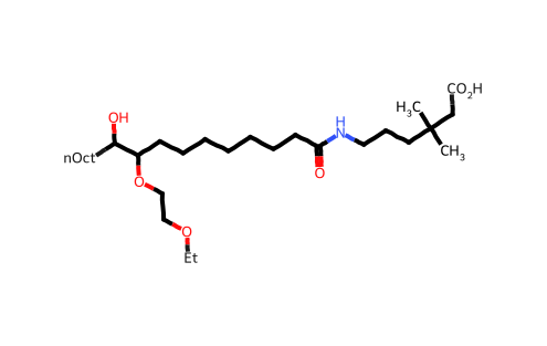 CCCCCCCCC(O)C(CCCCCCCC(=O)NCCCC(C)(C)CC(=O)O)OCCOCC